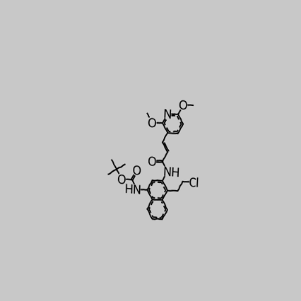 COc1ccc(C=CC(=O)Nc2cc(NC(=O)OC(C)(C)C)c3ccccc3c2CCCl)c(OC)n1